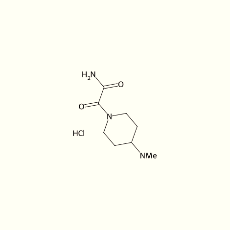 CNC1CCN(C(=O)C(N)=O)CC1.Cl